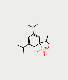 CC(C)C1=CC(C(C)C)(S(=O)(=O)Cl)CC(C(C)C)=C1